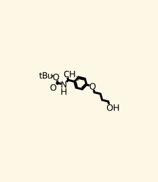 CC(NC(=O)OC(C)(C)C)c1ccc(OCCCCO)cc1